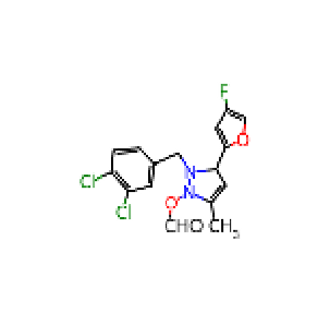 CC1=CC(c2cc(F)co2)N(Cc2ccc(Cl)c(Cl)c2)N1OC=O